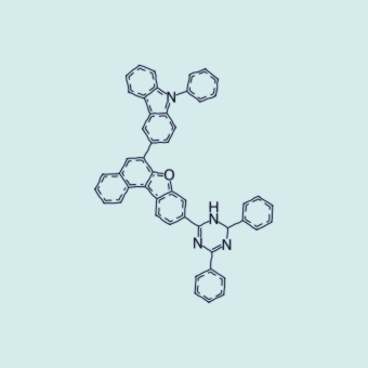 c1ccc(C2=NC(c3ccccc3)NC(c3ccc4c(c3)oc3c(-c5ccc6c(c5)c5ccccc5n6-c5ccccc5)cc5ccccc5c34)=N2)cc1